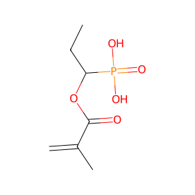 C=C(C)C(=O)OC(CC)P(=O)(O)O